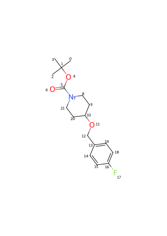 CC(C)(C)OC(=O)N1CCC(OCc2ccc(F)cc2)CC1